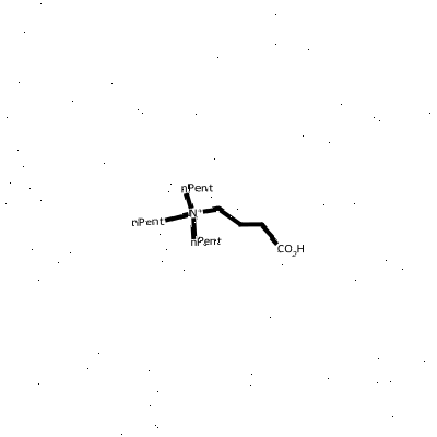 CCCCC[N+](CCCCC)(CCCCC)CCCC(=O)O